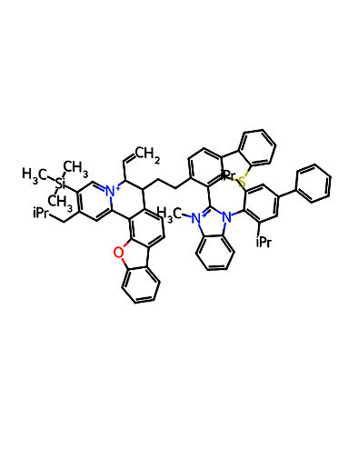 C=CC1C(CCc2ccc3c(sc4ccccc43)c2-c2n(-c3c(C(C)C)cc(-c4ccccc4)cc3C(C)C)c3ccccc3[n+]2C)c2ccc3c(oc4ccccc43)c2-c2cc(CC(C)C)c([Si](C)(C)C)c[n+]21